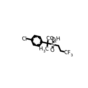 CC(C(=O)O)(c1ccc(Cl)cc1)S(=O)(=O)CCC(F)(F)F